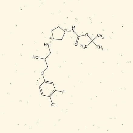 CC(C)(C)OC(=O)N[C@H]1CC[C@@H](NCC(O)COc2ccc(Cl)c(F)c2)C1